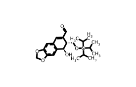 CC(C)[Si](OC[C@H]1C(C=O)=Cc2cc3c(cc2[C@@H]1O)OCO3)(C(C)C)C(C)C